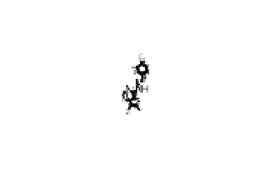 Cc1sc2c(NN=Cc3ccc(F)cc3)ncnc2c1C